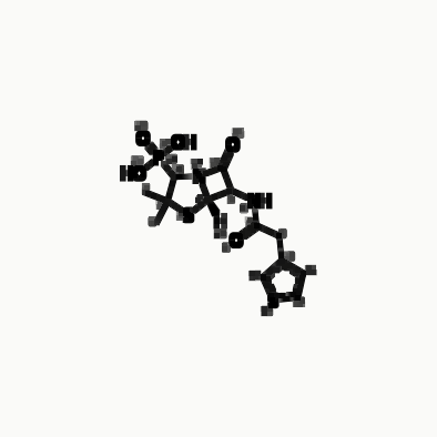 CC1(C)S[C@H]2C(NC(=O)Cc3ccsc3)C(=O)N2C1P(=O)(O)O